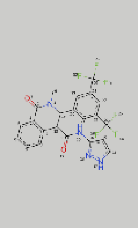 CN1C(=O)c2ccccc2C(C(=O)Nc2cc[nH]n2)C1c1cc(C(F)(F)F)cc(C(F)(F)F)c1